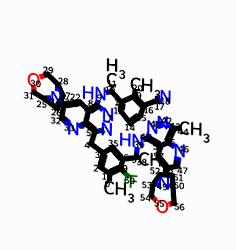 Cc1cc(Cc2nnc(N[C@H](C)c3cccc(C#N)c3C)c3cc(N4C5CCC4COC5)cnc23)cc([C@@H](C)Nc2nnc(C)c3ncc(N4C5CCC4COC5)cc23)c1F